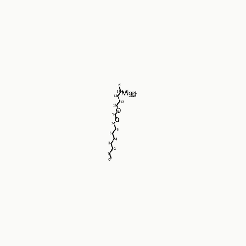 CCCCCCCCOCOCCC[CH](C)[Mg][Cl]